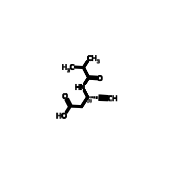 C#C[C@H](CC(=O)O)NC(=O)C(C)C